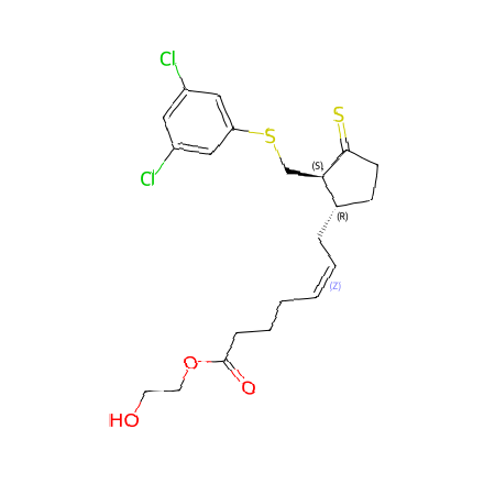 O=C(CCC/C=C\C[C@H]1CCC(=S)[C@@H]1CSc1cc(Cl)cc(Cl)c1)OCCO